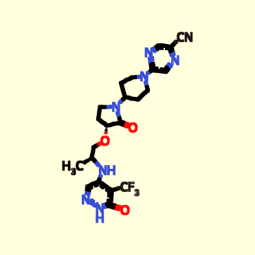 C[C@@H](CO[C@@H]1CCN(C2CCN(c3cnc(C#N)cn3)CC2)C1=O)Nc1cn[nH]c(=O)c1C(F)(F)F